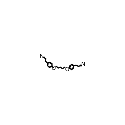 N#CCCc1ccc(OCCCCCOc2ccc(CCC#N)cc2)cc1